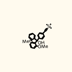 COc1ccccc1C(O)(c1ccc(C#C[Si](C)(C)C)cc1)c1ccccc1OC